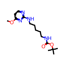 COc1ccnc(NCCCCCNC(=O)OC(C)(C)C)n1